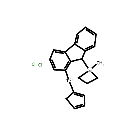 C[Si]1(C2c3ccccc3-c3ccc[c]([Ti+2][C]4=CC=CC4)c32)CCC1.[Cl-].[Cl-]